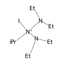 CCN(CC)[N+](I)(C(C)C)N(CC)CC